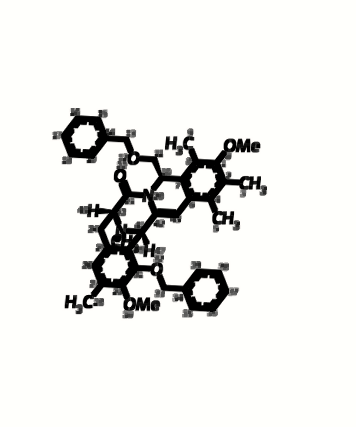 COc1c(C)c(C)c2c(c1C)[C@H](COCc1ccccc1)N1C(=O)[C@H]3Cc4cc(C)c(OC)c(OCc5ccccc5)c4[C@@H](C1=C2)N3C